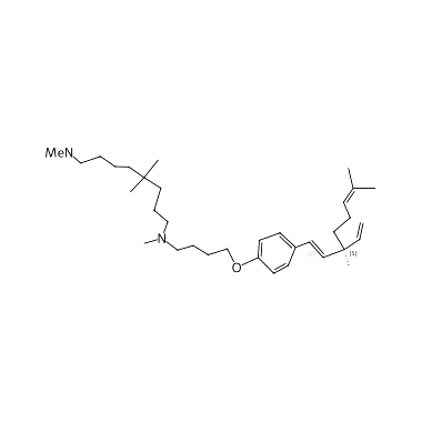 C=C[C@@](C)(/C=C/c1ccc(OCCCCN(C)CCCC(C)(C)CCCCNC)cc1)CCC=C(C)C